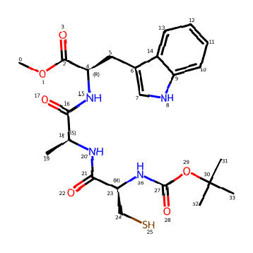 COC(=O)[C@@H](Cc1c[nH]c2ccccc12)NC(=O)[C@H](C)NC(=O)[C@H](CS)NC(=O)OC(C)(C)C